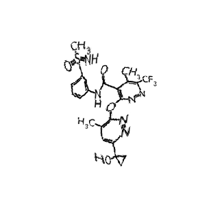 Cc1cc(C2(O)CC2)nnc1Oc1nnc(C(F)(F)F)c(C)c1C(=O)Nc1cccc(S(C)(=N)=O)c1